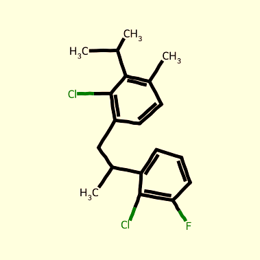 Cc1ccc(CC(C)c2cccc(F)c2Cl)c(Cl)c1C(C)C